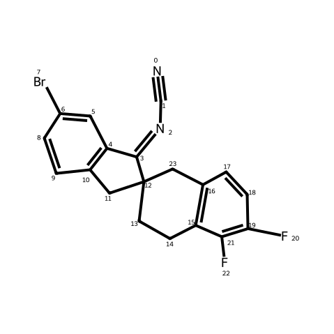 N#CN=C1c2cc(Br)ccc2CC12CCc1c(ccc(F)c1F)C2